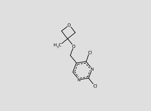 CC1(OCc2cnc(Cl)nc2Cl)COC1